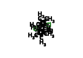 CC1=C(C)C(C)([SiH2]C2(C)C(C)=C(C)C(C)=C2Cl)C(Cl)=C1C.[Ti]